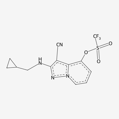 N#Cc1c(NCC2CC2)nn2cccc(OS(=O)(=O)C(F)(F)F)c12